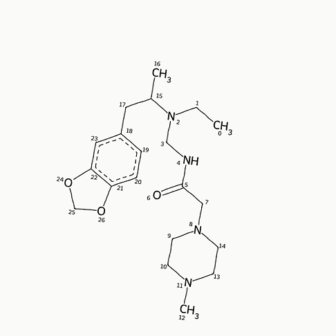 CCN(CNC(=O)CN1CCN(C)CC1)C(C)Cc1ccc2c(c1)OCO2